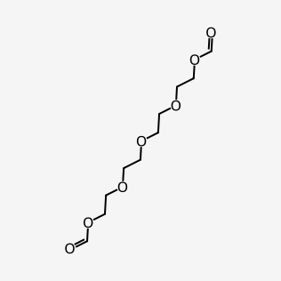 O=COCCOCCOCCOCCOC=O